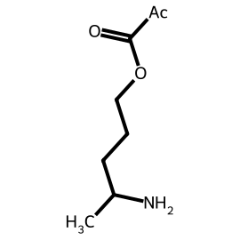 CC(=O)C(=O)OCCCC(C)N